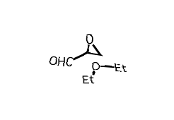 CCOCC.O=CC1CO1